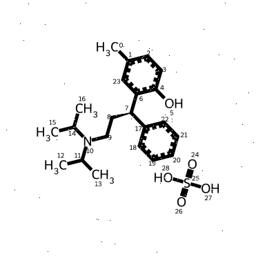 Cc1ccc(O)c([C@H](CCN(C(C)C)C(C)C)c2ccccc2)c1.O=S(=O)(O)O